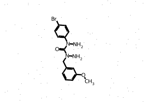 COc1cccc(CN(N)C(=O)N(N)c2ccc(Br)cc2)c1